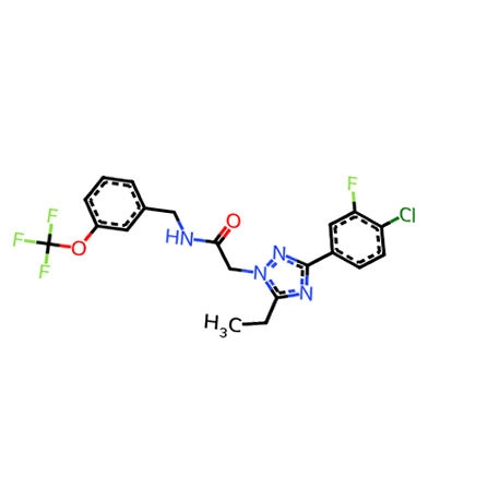 CCc1nc(-c2ccc(Cl)c(F)c2)nn1CC(=O)NCc1cccc(OC(F)(F)F)c1